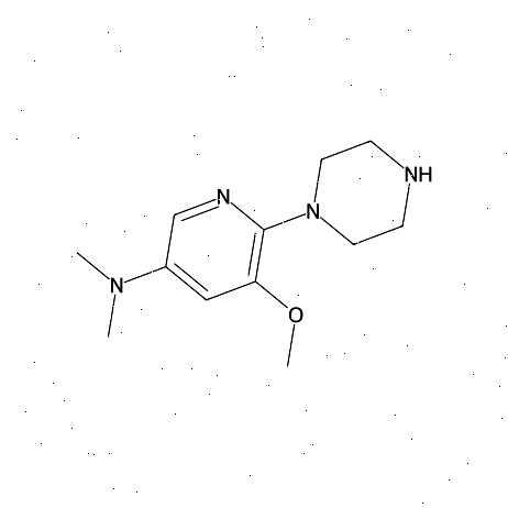 COc1cc(N(C)C)cnc1N1CCNCC1